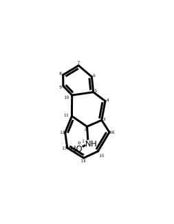 ONC1C2=Cc3ccccc3C1=C/C=C\C=C/2